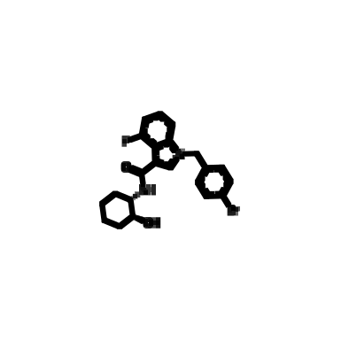 O=C(N[C@H]1CCCC[C@@H]1O)c1cn(Cc2ccc(Br)cc2)c2cccc(F)c12